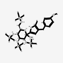 COc1ccc(Cc2cc(C3(O)O[C@H](CO[Si](C)(C)C)[C@@H](O[Si](C)(C)C)[C@H](O[Si](C)(C)C)[C@H]3O[Si](C)(C)C)sc2C)cc1